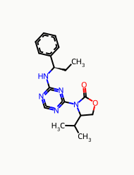 CC[C@@H](Nc1ncnc(N2C(=O)OCC2C(C)C)n1)c1ccccc1